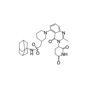 Cc1nc2cccc(N3CCCC(CS(=O)(=O)NC45CC6CC(CC(C6)C4)C5)C3)c2c(=O)n1C1CCC(=O)NC1=O